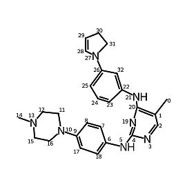 Cc1cnc(Nc2ccc(N3CCN(C)CC3)cc2)nc1Nc1cccc(N2C=CCC2)c1